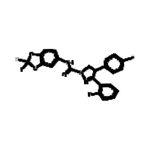 O=C(Nc1ccc2c(c1)OC(F)(F)O2)N1CC(c2ccc(F)cc2)C(c2ccccc2F)=N1